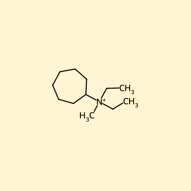 CC[N+](C)(CC)C1CCCCCC1